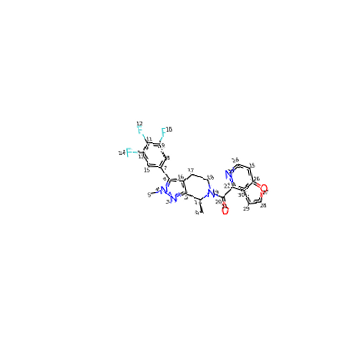 C[C@H]1c2nn(C)c(-c3cc(F)c(F)c(F)c3)c2CCN1C(=O)c1nccc2occc12